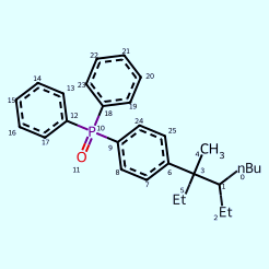 CCCCC(CC)C(C)(CC)c1ccc(P(=O)(c2ccccc2)c2ccccc2)cc1